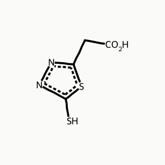 O=C(O)Cc1nnc(S)s1